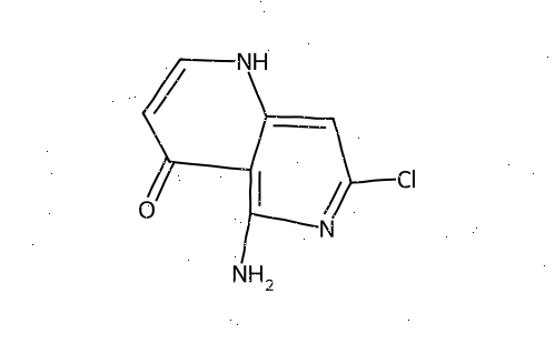 Nc1nc(Cl)cc2[nH]ccc(=O)c12